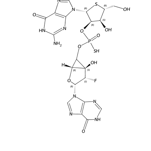 Nc1nc2c(ncn2[C@@H]2S[C@H](CO)[C@@H](O)[C@H]2OP(=O)(S)OC2[C@H]3O[C@@H](n4cnc5c(=O)[nH]cnc54)[C@@H](F)[C@@]23O)c(=O)[nH]1